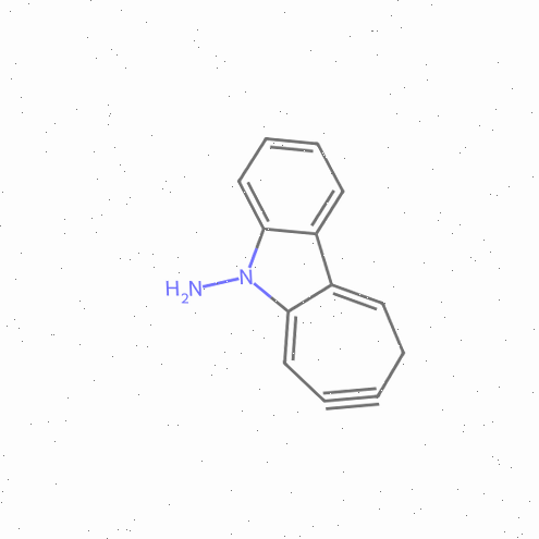 Nn1c2c(c3ccccc31)=CCC#CC=2